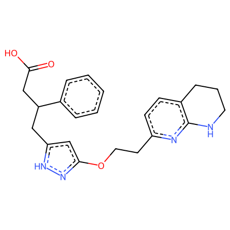 O=C(O)CC(Cc1cc(OCCc2ccc3c(n2)NCCC3)n[nH]1)c1ccccc1